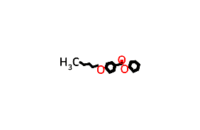 CCCCCCOc1ccc(C(=O)Oc2ccccc2)cc1